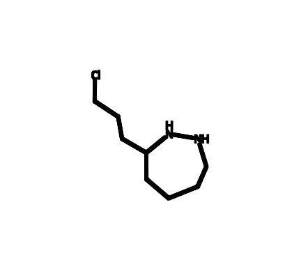 ClCCCC1CCCCNN1